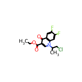 CCOC(=O)c1cn(C(C)CCl)c2cc(F)c(F)cc2c1=O